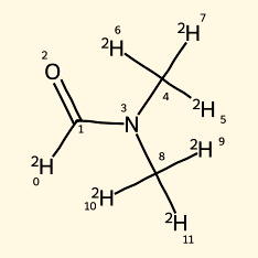 [2H]C(=O)N(C([2H])([2H])[2H])C([2H])([2H])[2H]